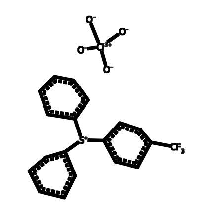 FC(F)(F)c1ccc([S+](c2ccccc2)c2ccccc2)cc1.[O-][Cl+3]([O-])([O-])[O-]